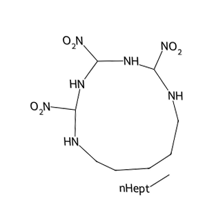 CCCCCCCC.O=[N+]([O-])C1NCCCCCNC([N+](=O)[O-])NC([N+](=O)[O-])N1